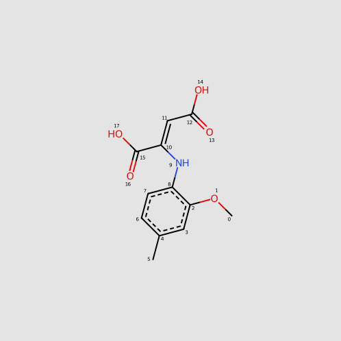 COc1cc(C)ccc1N/C(=C\C(=O)O)C(=O)O